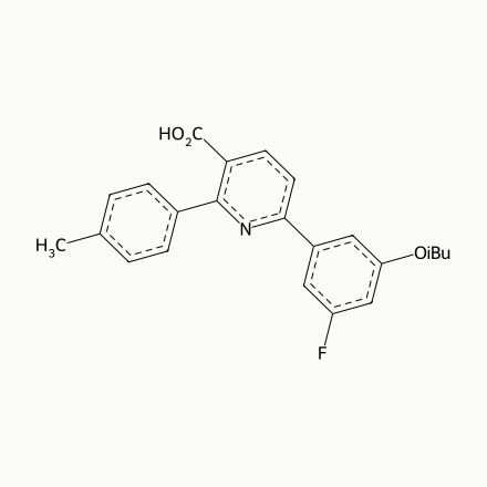 Cc1ccc(-c2nc(-c3cc(F)cc(OCC(C)C)c3)ccc2C(=O)O)cc1